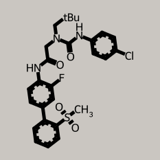 CC(C)(C)CN(CC(=O)Nc1ccc(-c2ccccc2S(C)(=O)=O)cc1F)C(=O)Nc1ccc(Cl)cc1